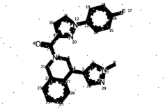 Cn1cc(C2CN(C(=O)c3ccn(-c4ccc(F)cc4)n3)Cc3ccccc32)cn1